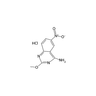 COc1nc(N)c2cc([N+](=O)[O-])ccc2n1.Cl